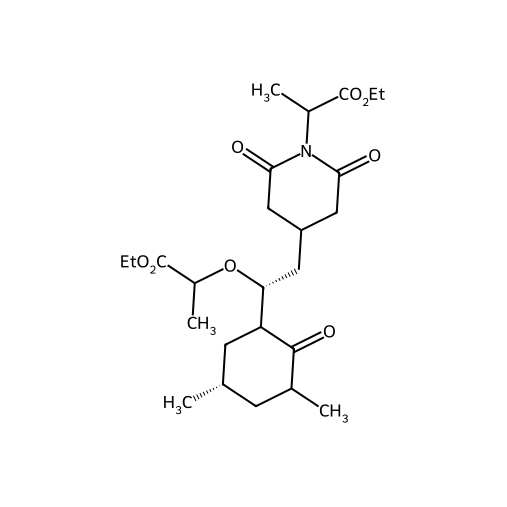 CCOC(=O)C(C)O[C@H](CC1CC(=O)N(C(C)C(=O)OCC)C(=O)C1)C1C[C@@H](C)CC(C)C1=O